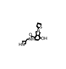 O=C(NCC1CNC1)c1ccc(O)c2c1CN(c1cccs1)C2